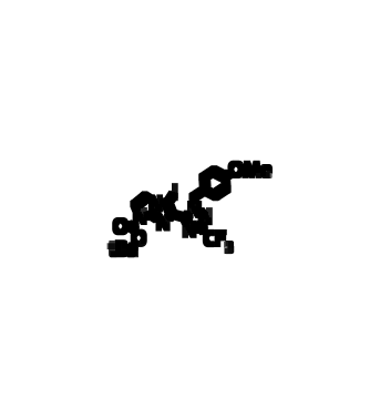 COc1ccc(Cn2nc(C(F)(F)F)nc2-c2nc3n(C(=O)OC(C)(C)C)ccn3c2I)cc1